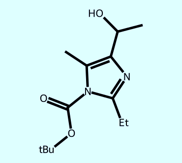 CCc1nc(C(C)O)c(C)n1C(=O)OC(C)(C)C